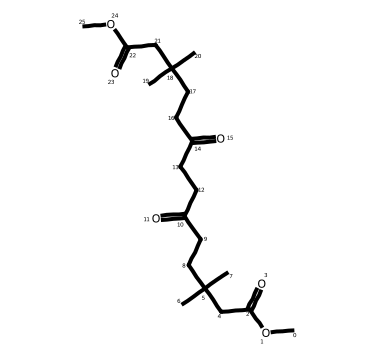 COC(=O)CC(C)(C)CCC(=O)CCC(=O)CCC(C)(C)CC(=O)OC